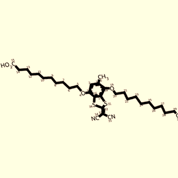 Cc1cc(OCCCCCCCCCCC(=O)O)c2c(c1OCCCCCCCCCCC(=O)O)SC(=C(C#N)C#N)S2